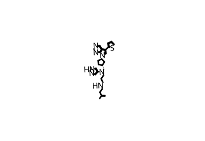 C=C(C)CCNCCCN(C[C@@H]1CC[C@H](n2cc(-c3cccs3)c3cncnc32)C1)c1cn[nH]c1